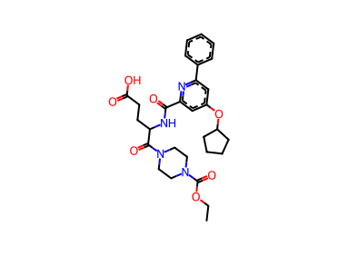 CCOC(=O)N1CCN(C(=O)C(CCC(=O)O)NC(=O)c2cc(OC3CCCC3)cc(-c3ccccc3)n2)CC1